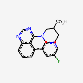 O=C(O)C1CCCN(c2ncnc3cccc(-c4cncc(F)c4)c23)C1